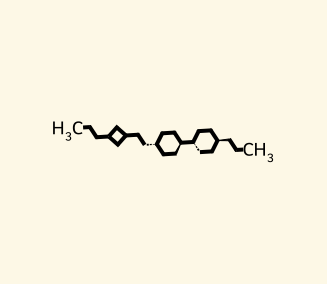 CCCC1CC(CC[C@H]2CC[C@H]([C@H]3CC[C@H](CCC)CC3)CC2)C1